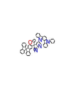 c1ccc(-n2c3ccccc3c3c2ccc2c4ccccc4n(-c4cnc5c(c4)C4(c6ccccc6Oc6cc7c(cc64)-c4ccccc4C74c6ccccc6-c6ccccc64)c4cccnc4-5)c23)cc1